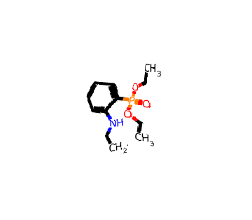 [CH2]CNc1ccccc1P(=O)(OCC)OCC